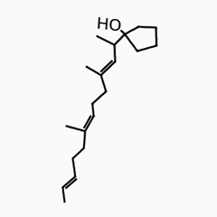 CC=CCC/C(C)=C/CC/C(C)=C/C(C)C1(O)CCCC1